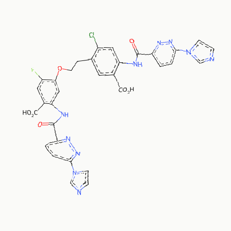 O=C(Nc1cc(OCCc2cc(C(=O)O)c(NC(=O)c3ccc(-n4ccnc4)nn3)cc2Cl)c(F)cc1C(=O)O)c1ccc(-n2ccnc2)nn1